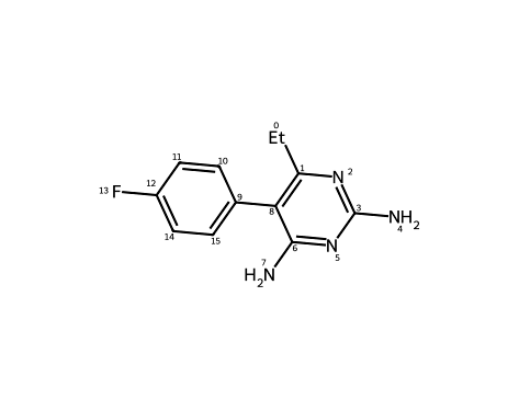 CCc1nc(N)nc(N)c1-c1ccc(F)cc1